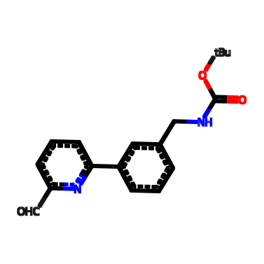 CC(C)(C)OC(=O)NCc1cccc(-c2cccc(C=O)n2)c1